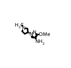 COc1nn([C@H]2CCN(C)C2)cc1N